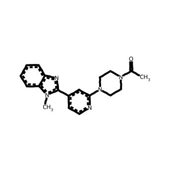 CC(=O)N1CCN(c2cc(-c3nc4ccccc4n3C)ccn2)CC1